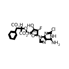 NC1NC(Cl)=Nc2c1ncn2[C@@H]1O[C@H](COC(Cc2ccccc2)(C(=O)O)C(=O)O)[C@@H](O)[C@@H]1F